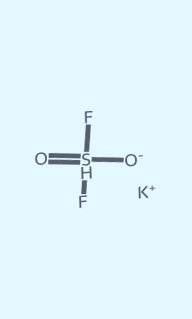 O=[SH]([O-])(F)F.[K+]